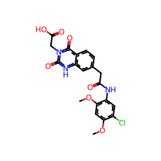 COc1cc(OC)c(NC(=O)Cc2ccc3c(=O)n(CC(=O)O)c(=O)[nH]c3c2)cc1Cl